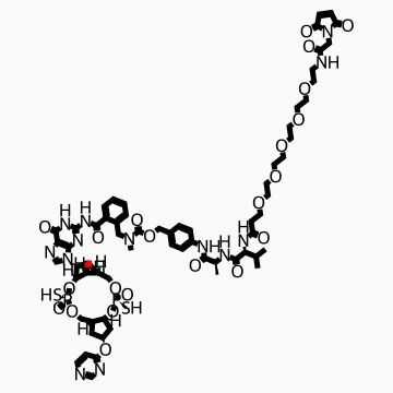 CC(C)[C@H](NC(=O)CCOCCOCCOCCOCCOCCNC(=O)CN1C(=O)C=CC1=O)C(=O)N[C@@H](C)C(=O)Nc1ccc(COC(=O)N(C)Cc2ccccc2C(=O)Nc2nc3c(ncn3[C@@H]3C[C@@H]4CO[P@@](=O)(S)O[C@H]5C[C@H](Oc6ccncn6)C[C@@H]5CO[P@@](=O)(S)O[C@@H]3[C@@H]4O)c(=O)[nH]2)cc1